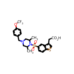 CC1CN(Cc2ccc(OC(F)(F)F)cc2)CC(C)N1S(=O)(=O)c1ccc2scc(CC(=O)O)c2c1